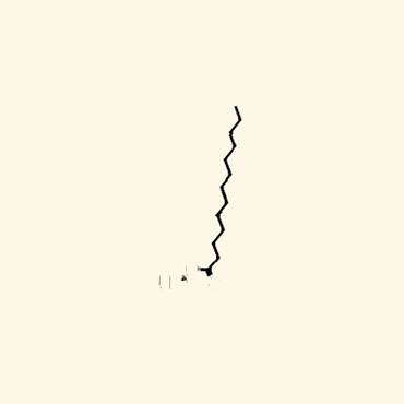 CCCCCCCCCCCCC(=O)OO